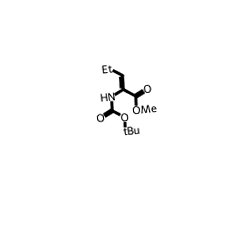 CCC=C(NC(=O)OC(C)(C)C)C(=O)OC